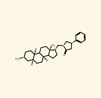 C[C@H]1CC[C@@H]2C3CC[C@@]4(C)C(CC[C@@H]4CN4C[C@@H](c5ccccc5)CC4=O)[C@@H]3CC[C@@H]2C1